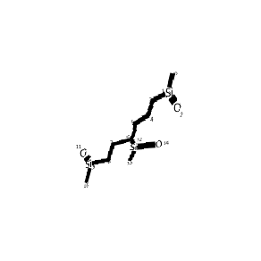 C[Si](=O)CCCC(CC[Si](C)=O)[Si](C)=O